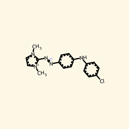 Cn1cc[n+](C)c1/N=N/c1ccc(Nc2ccc(Cl)cc2)cc1